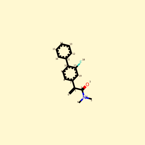 C=C(C(=O)N(C)C)c1ccc(-c2ccccc2)c(F)c1